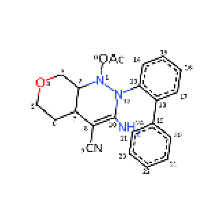 CC(=O)ON1C2COCCC2C(C#N)=C(N)N1c1ccccc1-c1ccccc1